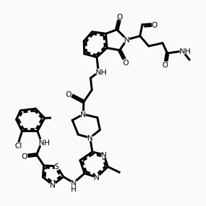 CNC(=O)CCC(C=O)N1C(=O)c2cccc(NCCC(=O)N3CCN(c4cc(Nc5ncc(C(=O)Nc6c(C)cccc6Cl)s5)nc(C)n4)CC3)c2C1=O